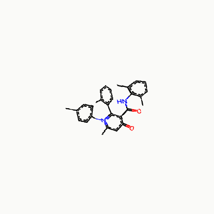 Cc1ccc(-n2c(C)cc(=O)c(C(=O)Nc3c(C)cccc3C)c2-c2ccccc2C)cc1